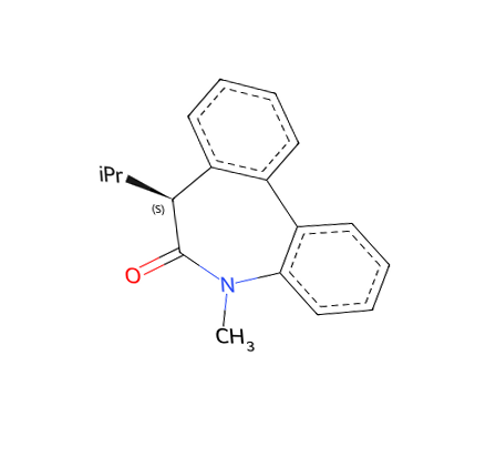 CC(C)[C@@H]1C(=O)N(C)c2ccccc2-c2ccccc21